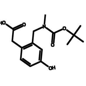 CN(Cc1cc(O)ccc1CC(=O)O)C(=O)OC(C)(C)C